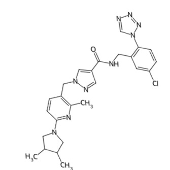 Cc1nc(N2CC(C)C(C)C2)ccc1Cn1cc(C(=O)NCc2cc(Cl)ccc2-n2cnnn2)cn1